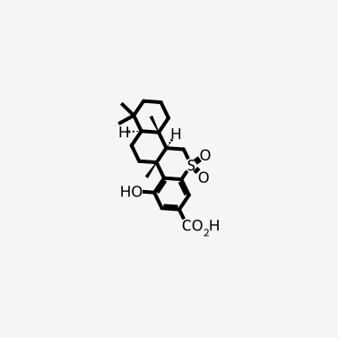 CC1(C)CCC[C@]2(C)[C@H]3CS(=O)(=O)c4cc(C(=O)O)cc(O)c4[C@]3(C)CC[C@@H]12